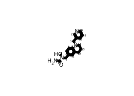 NC(=O)N(O)Cc1ccc2c(c1)CCCN2Cc1cccnc1